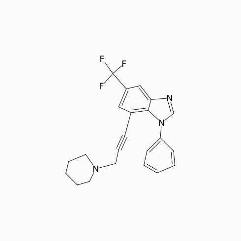 FC(F)(F)c1cc(C#CCN2CCCCC2)c2c(c1)ncn2-c1ccccc1